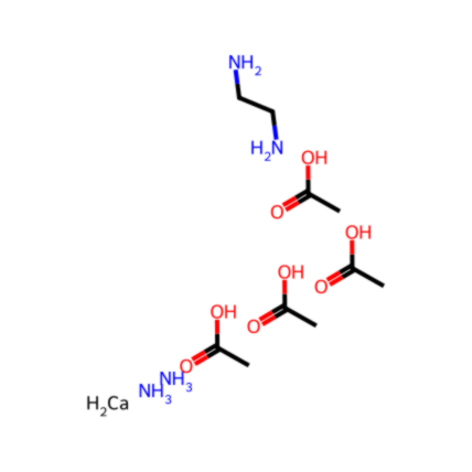 CC(=O)O.CC(=O)O.CC(=O)O.CC(=O)O.N.N.NCCN.[CaH2]